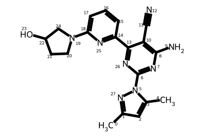 Cc1cc(C)n(-c2nc(N)c(C#N)c(-c3cccc(N4CCC(O)C4)n3)n2)n1